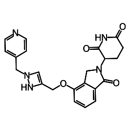 O=C1CCC(N2Cc3c(OCc4cn(Cc5ccncc5)[nH]4)cccc3C2=O)C(=O)N1